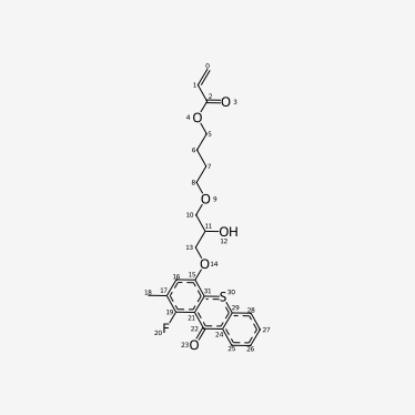 C=CC(=O)OCCCCOCC(O)COc1cc(C)c(F)c2c(=O)c3ccccc3sc12